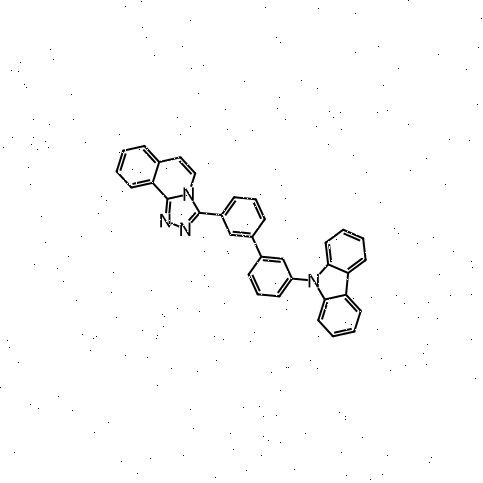 c1cc(-c2cccc(-n3c4ccccc4c4ccccc43)c2)cc(-c2nnc3c4ccccc4ccn23)c1